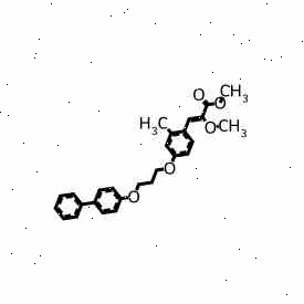 COC(=O)/C(=C/c1ccc(OCCCOc2ccc(-c3ccccc3)cc2)cc1C)OC